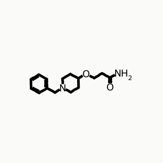 NC(=O)CCOC1CCN(Cc2ccccc2)CC1